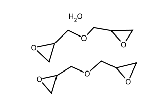 C(OCC1CO1)C1CO1.C(OCC1CO1)C1CO1.O